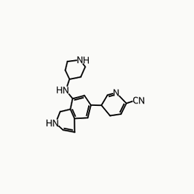 N#CC1=CCC(c2cc3c(c(NC4CCNCC4)c2)CNC=C3)C=N1